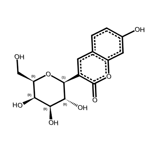 O=c1oc2cc(O)ccc2cc1[C@@H]1O[C@H](CO)[C@H](O)[C@H](O)[C@H]1O